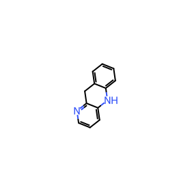 c1ccc2c(c1)Cc1ncccc1N2